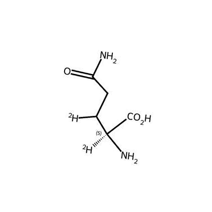 [2H]C(CC(N)=O)[C@]([2H])(N)C(=O)O